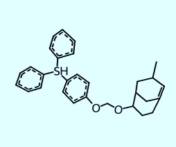 CC1C=C2CCC(OCOc3ccc([SH](c4ccccc4)c4ccccc4)cc3)C(C2)C1